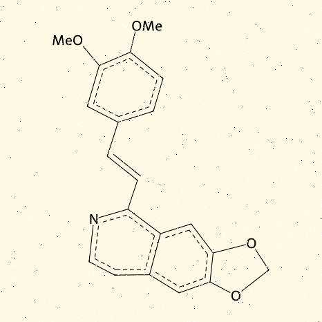 COc1ccc(C=Cc2nccc3cc4c(cc23)OCO4)cc1OC